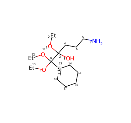 CCOC(O)(CCCN)C(OCC)(OCC)[SiH]1CCCCC1